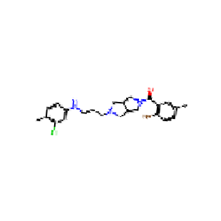 Cc1ccc(Br)c(C(=O)N2CC3CN(CCCNc4ccc(C)c(Cl)c4)CC3C2)c1